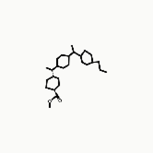 CCCC1CCC(C(C)C2CCC(C(C)[C@H]3CC[C@H](C(=O)OC)CC3)CC2)CC1